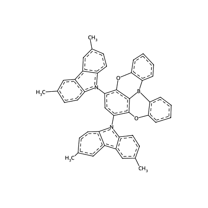 Cc1ccc2c(c1)c1cc(C)ccc1n2-c1cc(-n2c3ccc(C)cc3c3cc(C)ccc32)c2c3c1Oc1ccccc1B3c1ccccc1O2